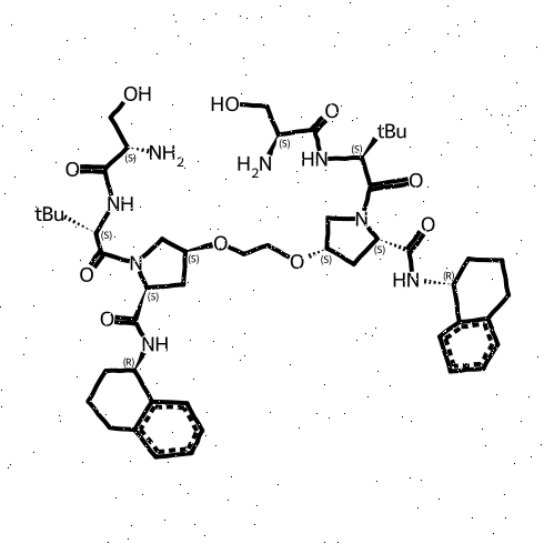 CC(C)(C)[C@H](NC(=O)[C@@H](N)CO)C(=O)N1C[C@@H](OCCO[C@H]2C[C@@H](C(=O)N[C@@H]3CCCc4ccccc43)N(C(=O)[C@@H](NC(=O)[C@@H](N)CO)C(C)(C)C)C2)C[C@H]1C(=O)N[C@@H]1CCCc2ccccc21